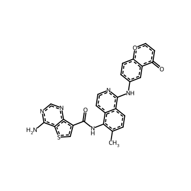 Cc1ccc2c(Nc3ccc4occc(=O)c4c3)nccc2c1NC(=O)c1csc2c(N)ncnc12